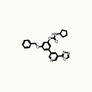 O=C(NC1CCCC1)Oc1cc(OCc2ccccc2)cc(-c2cncc(-c3nnco3)c2)c1